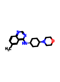 Cc1ccc2ncnc(N[C@H]3CC[C@H](N4CCOCC4)CC3)c2c1